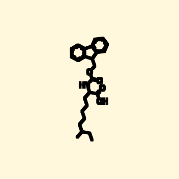 CCC(C)CCCCCC(NC(=O)OCC1c2ccccc2-c2ccccc21)C(=O)O